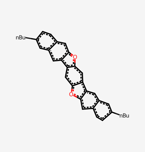 CCCCc1ccc2cc3oc4cc5c(cc4c3cc2c1)oc1cc2ccc(CCCC)cc2cc15